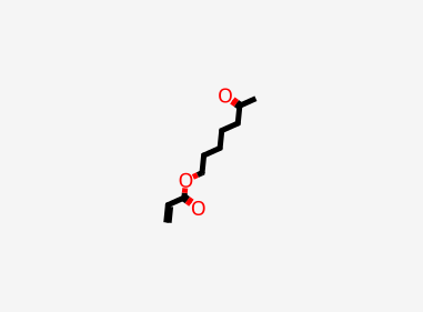 C=CC(=O)OCCCCCC(C)=O